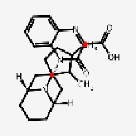 CC1CCC(N2[C@@H]3CCC[C@H]2C[C@@H](n2c(=O)c(C(=O)O)nc4ccccc42)C3)C1C